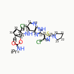 CC(C)NC(=O)O[C@@H]1[C@H](Nc2c(Cl)cnc3[nH]c(-c4sc(N5CCCC5)nc4Cl)nc23)[C@H]2C=C[C@@H]1C2